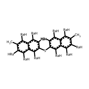 Cc1[c]([RaH])[c]([RaH])c2[c]([RaH])c(Sc3[c]([RaH])[c]([RaH])c4[c]([RaH])c(C)[c]([RaH])[c]([RaH])c4[c]3[RaH])[c]([RaH])[c]([RaH])c2[c]1[RaH]